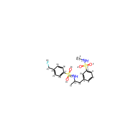 CCNS(=O)(=O)c1cccc(CC(C)NS(=O)(=O)c2ccc(CF)cc2)c1